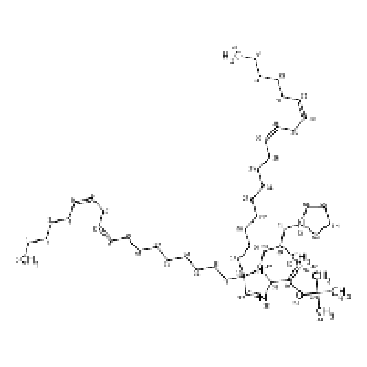 CCCCC/C=C\C/C=C\CCCCCCCCC1(CCCCCCCC/C=C\C/C=C\CCCCC)C=NC(C(=O)OC(C)(C)C)N1CC(C)CN1CCCC1